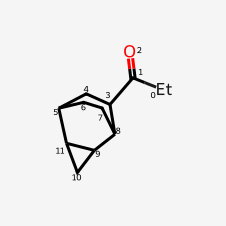 CCC(=O)C1CC2CCC1C1CC21